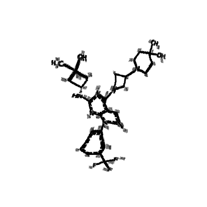 CC1(O)CCN(C2CN(c3nc(N[C@H]4C[C@@](C)(O)C4)nc4c3cnn4-c3cccc(C(F)(F)F)c3)C2)CC1